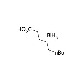 CCCCCCCCC(=O)O.[BiH3]